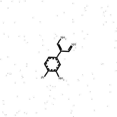 CC(C)c1ccc(/C(C=N)=C/N)cc1N